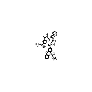 CC(NC(=O)[C@@H]1CC2(CN1C(=O)CNC(=O)c1ccc3c(c1)Oc1ccccc1N3C(=O)OC(C)(C)C)OCCO2)c1cc(C(=N)N)cs1